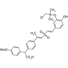 COc1ccc(C(C(=O)O)c2ccc(/C(C)=C/S(=O)(=O)/C=C/c3ccc(O)c(O[Si](C)(C)CCl)c3)cc2)cc1